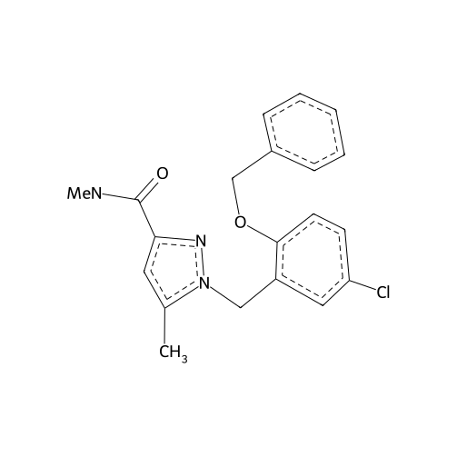 CNC(=O)c1cc(C)n(Cc2cc(Cl)ccc2OCc2ccccc2)n1